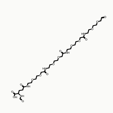 O=CCOCCOCCNC(=O)COCCOCCNC(=O)COCCOCCNC(=O)COCCOCCNC(=O)CCC(NC=O)C(=O)O